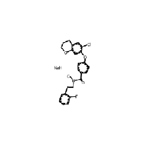 O=C(c1ccc(Oc2cc3c(cc2Cl)CCCO3)cc1)N(Cl)CCc1ccccc1F.[NaH]